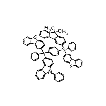 CC1(C)c2ccccc2-c2cc([Si](c3ccccc3)(c3ccc(C(c4ccccc4)(c4ccc5sc6ccccc6c5c4)c4ccc5c(c4)c4ccccc4n5-c4ccccc4)cc3)c3ccc4sc5ccccc5c4c3)ccc21